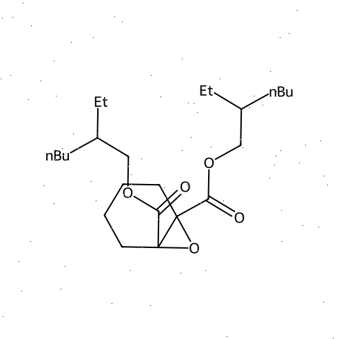 CCCCC(CC)COC(=O)C12CCCCC1(C(=O)OCC(CC)CCCC)O2